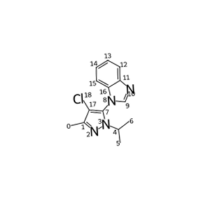 Cc1nn(C(C)C)c(-n2cnc3ccccc32)c1Cl